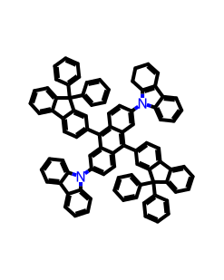 C1=Cc2c(n(-c3ccc4c(-c5ccc6c(c5)C(c5ccccc5)(c5ccccc5)c5ccccc5-6)c5cc(-n6c7ccccc7c7ccccc76)ccc5c(-c5ccc6c(c5)C(c5ccccc5)(c5ccccc5)c5ccccc5-6)c4c3)c3ccccc23)CC1